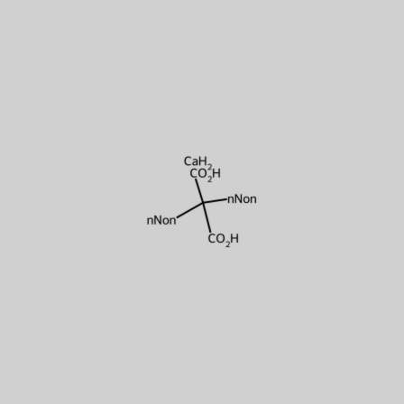 CCCCCCCCCC(CCCCCCCCC)(C(=O)O)C(=O)O.[CaH2]